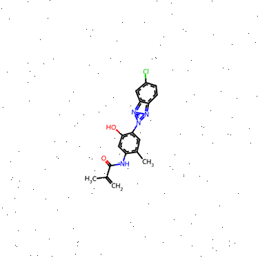 C=C(C)C(=O)Nc1cc(O)c(-n2n3c4ccc(Cl)cc4n23)cc1C